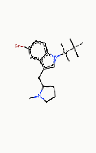 CN1CCCC1Cc1cn([Si](C)(C)C(C)(C)C)c2ccc(Br)cc12